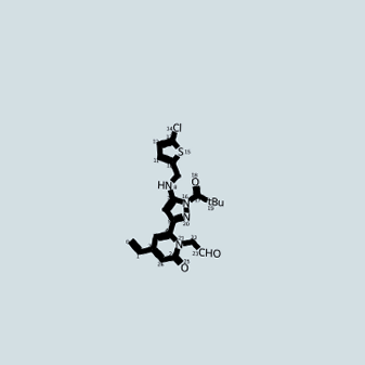 C=Cc1cc(-c2cc(NCc3ccc(Cl)s3)n(C(=O)C(C)(C)C)n2)n(CC=O)c(=O)c1